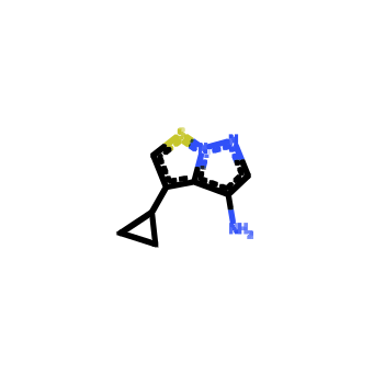 Nc1cnn2scc(C3CC3)c12